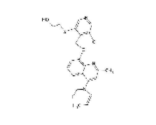 C/C=C\N(CI)c1cc(C)nc2c(OCc3c(Cl)cncc3SCCO)cccc12